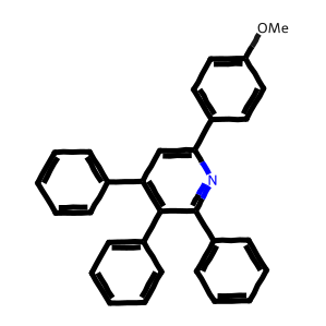 COc1ccc(-c2cc(-c3ccccc3)c(-c3ccccc3)c(-c3ccccc3)n2)cc1